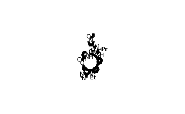 C=CC(=O)N1CC[C@H](C(=O)N(C)[C@H](C(=O)N[C@@H]2C(=O)N3CCC[C@H](N3)C(=O)OCC(C)(C)Cc3c(-c4cncnc4)n(CC)c4ccc(cc34)-c3cccc(c3)[C@H]2O)C(C)C)C1